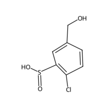 O=S(O)c1cc(CO)ccc1Cl